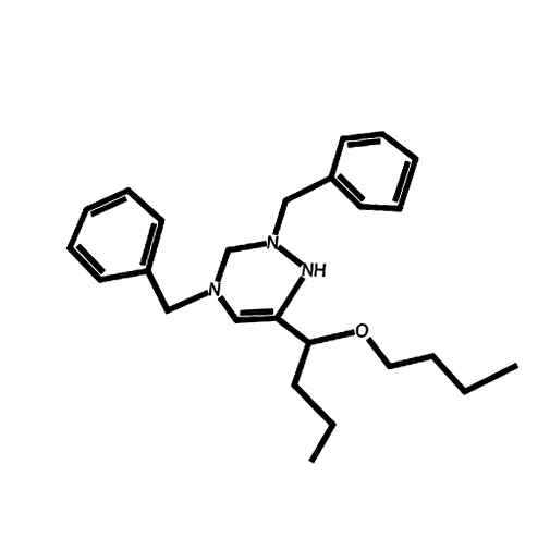 CCCCOC(CCC)C1=CN(Cc2ccccc2)CN(Cc2ccccc2)N1